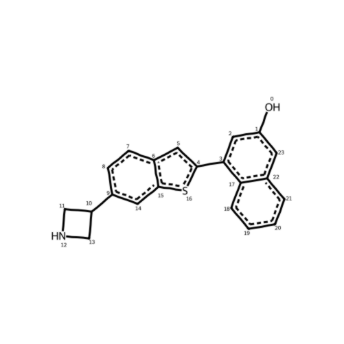 Oc1cc(-c2cc3ccc(C4CNC4)cc3s2)c2ccccc2c1